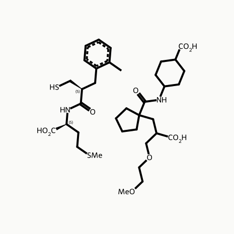 COCCOCC(CC1(C(=O)NC2CCC(C(=O)O)CC2)CCCC1)C(=O)O.CSCC[C@H](NC(=O)[C@@H](CS)Cc1ccccc1C)C(=O)O